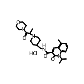 Cc1cccc2c1cc(C(=O)NCC1CCN(C(C)C(=O)N3CCOCC3)CC1)c(=O)n2C(C)C.Cl